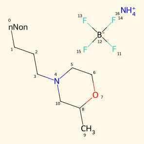 CCCCCCCCCCCCN1CCOC(C)C1.F[B-](F)(F)F.[NH4+]